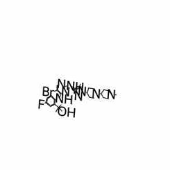 Cc1c(Nc2ncc(Br)c(Nc3ccc(F)cc3C(C)(C)O)n2)cnn1C1CCN(C2CCN(C)CC2)CC1